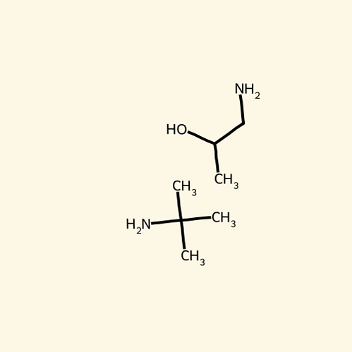 CC(C)(C)N.CC(O)CN